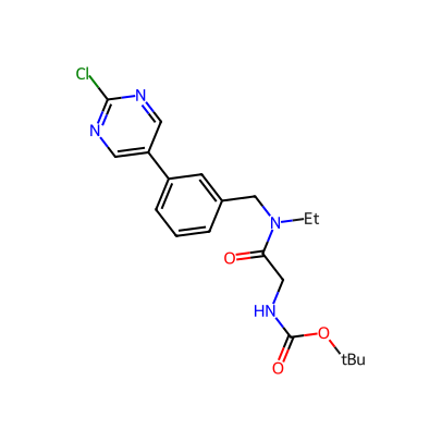 CCN(Cc1cccc(-c2cnc(Cl)nc2)c1)C(=O)CNC(=O)OC(C)(C)C